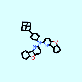 c1ccc2c(c1)oc1ccc(N(c3ccc(C4C5CC6CC7CC4C675)cc3)c3ccc4oc5ccccc5c4n3)nc12